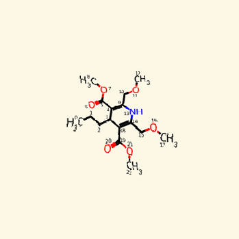 CCCC1C(C(=O)OC)=C(COC)NC(COC)=C1C(=O)OC